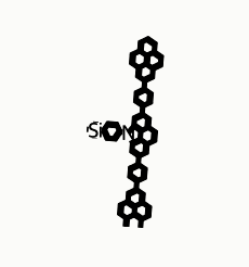 C=c1ccc2cc(-c3ccc(-c4cc5ccc6cc(-c7ccc(-c8cc9ccc%10cccc%11ccc(c8)c9c%10%11)cc7)cc7c6c5c(c4)n7-c4ccc([Si](C)(C)C)cc4)cc3)cc3ccc(C)c1c32